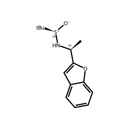 C[C@H](N[S@+]([O-])C(C)(C)C)c1cc2ccccc2o1